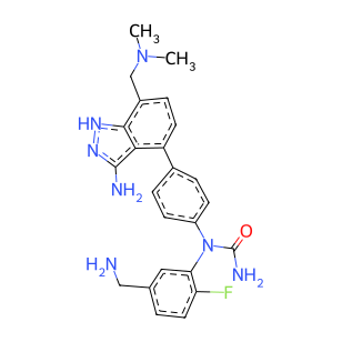 CN(C)Cc1ccc(-c2ccc(N(C(N)=O)c3cc(CN)ccc3F)cc2)c2c(N)n[nH]c12